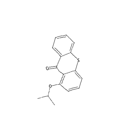 CC(C)Oc1cccc2sc3ccccc3c(=O)c12